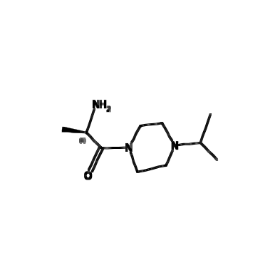 CC(C)N1CCN(C(=O)[C@@H](C)N)CC1